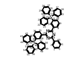 c1ccc(-c2nc(-c3cccc(S(c4ccccc4)(c4ccccc4)c4ccccc4)c3)nc(-c3cccc(S(c4ccccc4)(c4ccccc4)c4ccccc4)c3)n2)cc1